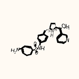 NC1=CCC=C(S(=O)(=O)Nc2ccc(C[C@@H]3CC[C@H]([C@H](O)c4cccnc4)N3)cc2)C=C1